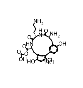 Cl.Cl.NCCC[C@@H]1NC(=O)[C@@H](N)Cc2cc(ccc2O)-c2ccc(O)c(c2)C[C@@H](C(=O)OC(=O)O)NC1=O